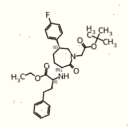 CCOC(=O)[C@H](CCc1ccccc1)N[C@@H]1CC[C@@H](c2ccc(F)cc2)CN(CC(=O)OC(C)(C)C)C1=O